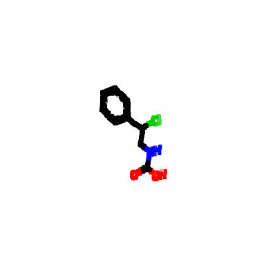 O=C(O)NCC(Cl)c1ccccc1